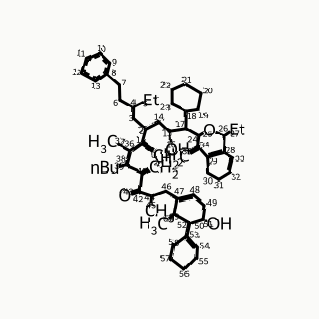 C=C(C(CC(CC)CCc1ccccc1)C[C@H](O)C(C1CCCCC1)C1OC(CC)C2=C(CCC=C2)C1=C)C(C)C(CCCC)C(=C)C(=O)C(C)CC1=CC[C@H](O)C(C2=CCCCC2)C1C